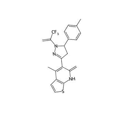 C=C1Nc2sccc2C(C)=C1C1=NN(C(=C)C(F)(F)F)C(c2ccc(C)cc2)C1